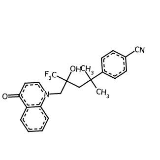 CC(C)(CC(O)(Cn1ccc(=O)c2ccccc21)C(F)(F)F)c1ccc(C#N)cc1